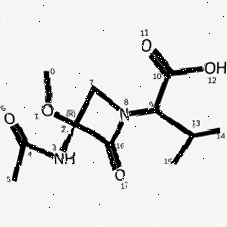 CO[C@]1(NC(C)=O)CN(C(C(=O)O)C(C)C)C1=O